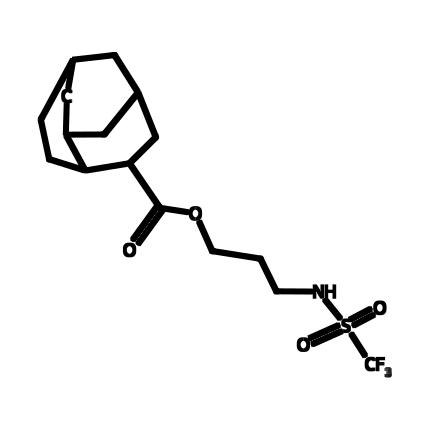 O=C(OCCCNS(=O)(=O)C(F)(F)F)C1CC2CC3CCC1C(C3)C2